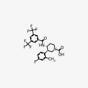 Cc1cc(F)ccc1[C@@H]1CN(C(=O)O)CC[C@H]1NC(=O)c1cc(C(F)(F)F)cc(C(F)(F)F)c1